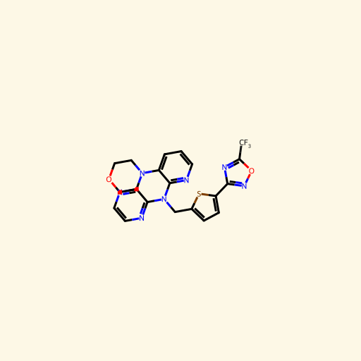 FC(F)(F)c1nc(-c2ccc(CN(c3cnccn3)c3ncccc3N3CCOCC3)s2)no1